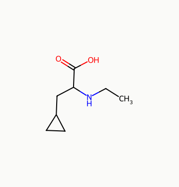 CCNC(CC1CC1)C(=O)O